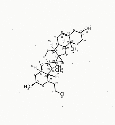 C[C@H]1C[C@H]2O[C@]3(CC[C@H]4C5CC=C6C[C@@H](O)CC[C@]6(C)[C@H]5CC45C[C@]53C)[C@H](C)[C@@H]2N(CCCl)C1